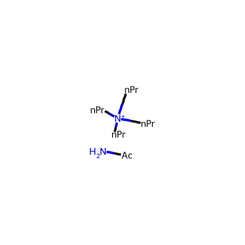 CC(N)=O.CCC[N+](CCC)(CCC)CCC